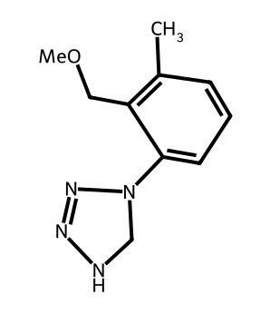 COCc1c(C)cccc1N1CNN=N1